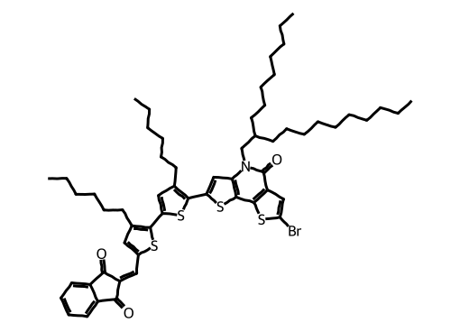 CCCCCCCCCCC(CCCCCCCC)Cn1c(=O)c2cc(Br)sc2c2sc(-c3sc(-c4sc(C=C5C(=O)c6ccccc6C5=O)cc4CCCCCC)cc3CCCCCC)cc21